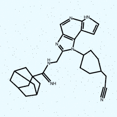 N#CCC1CCC(n2c(CNC(=N)C34CC5CC(CC(C5)C3)C4)nc3cnc4[nH]ccc4c32)CC1